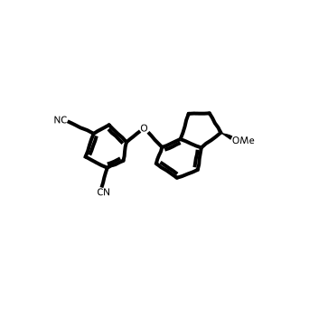 CO[C@@H]1CCc2c(Oc3cc(C#N)cc(C#N)c3)cccc21